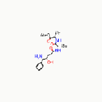 CC[C@H](C)[C@H](NC(=O)CC[C@H](O)[C@@H](N)c1ccccc1)C(=O)N[C@H](C(=O)OC)C(C)C